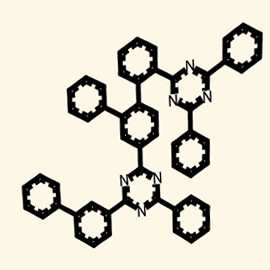 c1ccc(-c2cccc(-c3nc(-c4ccccc4)nc(-c4ccc(-c5ccccc5-c5nc(-c6ccccc6)nc(-c6ccccc6)n5)c(-c5ccccc5)c4)n3)c2)cc1